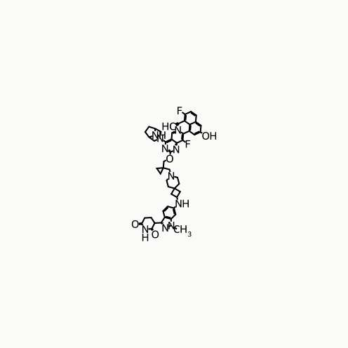 C#Cc1c(F)ccc2cc(O)cc(-c3ncc4c(N5CC6CCC(C5)N6)nc(OCC5(CN6CCC7(CC6)CC(Nc6ccc8c(C9CCC(=O)NC9=O)nn(C)c8c6)C7)CC5)nc4c3F)c12